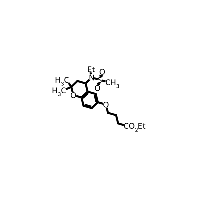 CCOC(=O)CCCOc1ccc2c(c1)C(N(CC)S(C)(=O)=O)CC(C)(C)O2